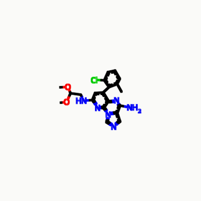 COC(CNc1cc(-c2c(C)cccc2Cl)c2nc(N)c3cncn3c2n1)OC